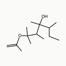 C=C(C)OC(C)(C)C(C)C(C)(O)C(C)CC